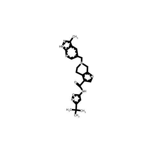 Cc1n[nH]c2ncc(CN3CCc4c(C(=O)Nc5cc(C(C)(C)C)no5)csc4C3)cc12